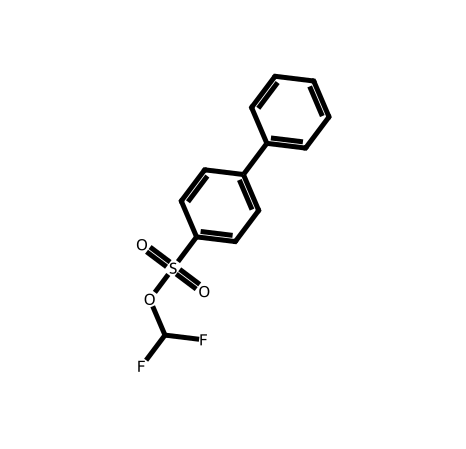 O=S(=O)(OC(F)F)c1ccc(-c2ccccc2)cc1